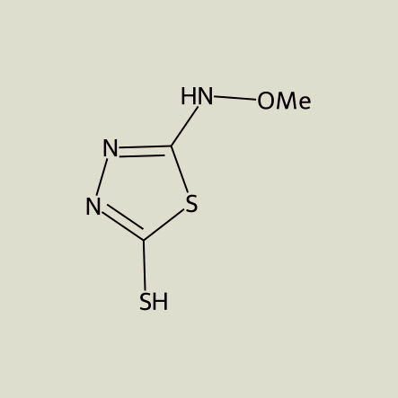 CONc1nnc(S)s1